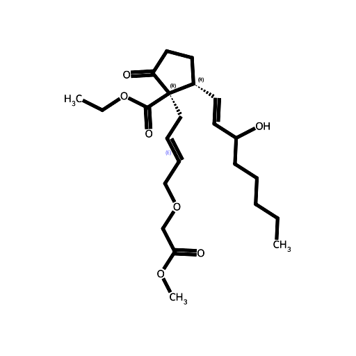 CCCCCC(O)C=C[C@H]1CCC(=O)[C@]1(C/C=C/COCC(=O)OC)C(=O)OCC